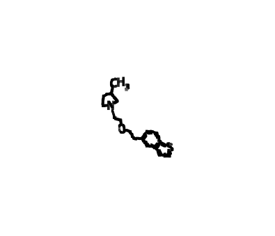 CC1CCN(CCOCCc2ccc3sccc3c2)C1